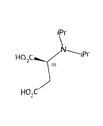 CC(C)N(C(C)C)[C@@H](CC(=O)O)C(=O)O